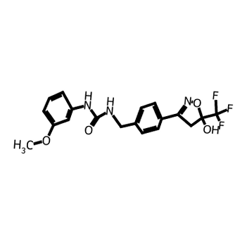 COc1cccc(NC(=O)NCc2ccc(C3=NOC(O)(C(F)(F)F)C3)cc2)c1